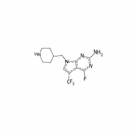 Nc1nc(F)c2c(C(F)(F)F)cn(CC3CCNCC3)c2n1